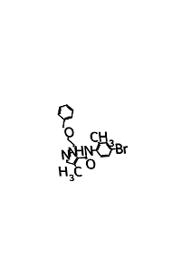 Cc1cc(Br)ccc1NC(=O)c1c(C)cnn1CCOCc1ccccc1